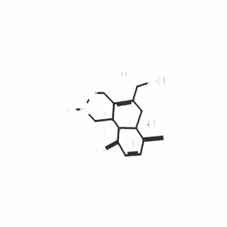 C=C1C=CC(=O)[C@@H]2[C@H]1CC(CO)=C1[C@@H](CCCC)OB(O)C[C@@H]12